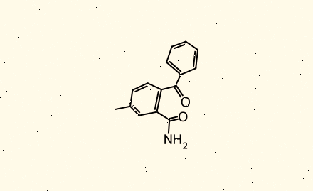 Cc1ccc(C(=O)c2ccccc2)c(C(N)=O)c1